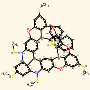 CSc1cc2c3c(c1)Oc1c(sc4ccccc14)B3c1cc3c(cc1O2)N(SC)c1cc(SC)cc2c1B3c1cc3c(cc1N2SC)Oc1cc(SC)cc2c1B3c1sc3ccccc3c1O2